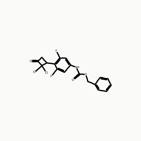 O=C(Nc1cc(F)c(C2CC(=O)C2(Cl)Cl)c(F)c1)OCc1ccccc1